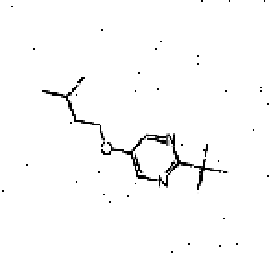 CC(C)CCOc1cnc(C(C)(C)C)nc1